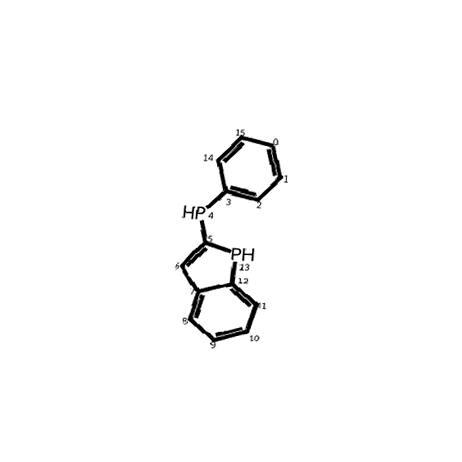 c1ccc(Pc2cc3ccccc3[pH]2)cc1